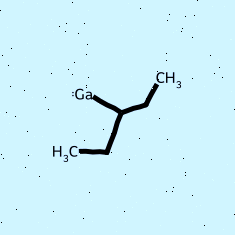 CC[CH]([Ga])CC